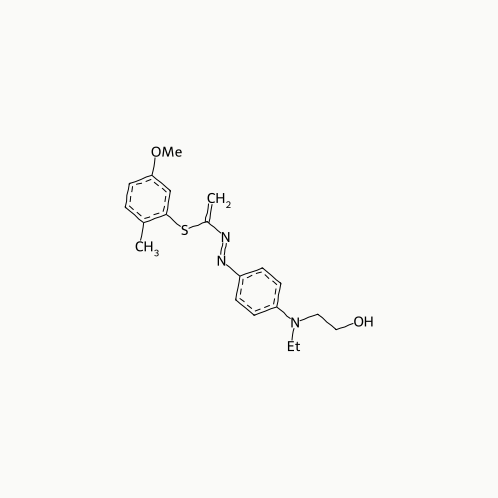 C=C(/N=N/c1ccc(N(CC)CCO)cc1)Sc1cc(OC)ccc1C